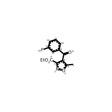 CCOC(=O)c1noc(C)c1C(=O)c1cccc(F)c1